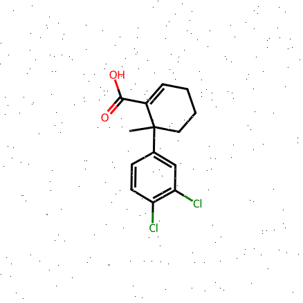 CC1(c2ccc(Cl)c(Cl)c2)CCCC=C1C(=O)O